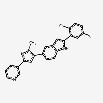 Cn1nc(-c2cccnc2)cc1-c1ccc2[nH]c(-c3cc(Cl)ccc3Cl)cc2c1